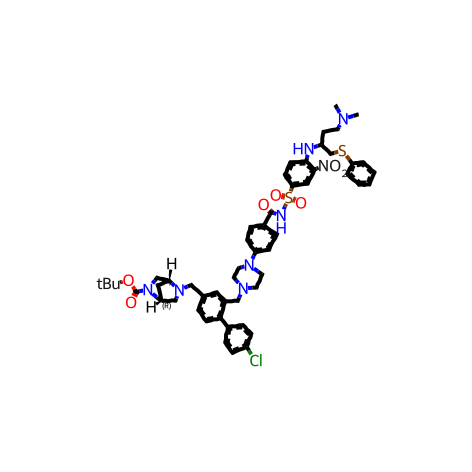 CN(C)CCC(CSc1ccccc1)Nc1ccc(S(=O)(=O)NC(=O)c2ccc(N3CCN(Cc4cc(CN5C[C@H]6C[C@@H]5CN6C(=O)OC(C)(C)C)ccc4-c4ccc(Cl)cc4)CC3)cc2)cc1[N+](=O)[O-]